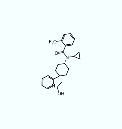 O=C(c1ccccc1C(F)(F)F)N(C1CC1)[C@H]1CC[C@](CCO)(c2ccccn2)CC1